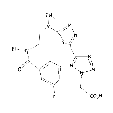 CCN(CCN(C)c1nnc(-c2nnn(CC(=O)O)n2)s1)C(=O)c1cccc(F)c1